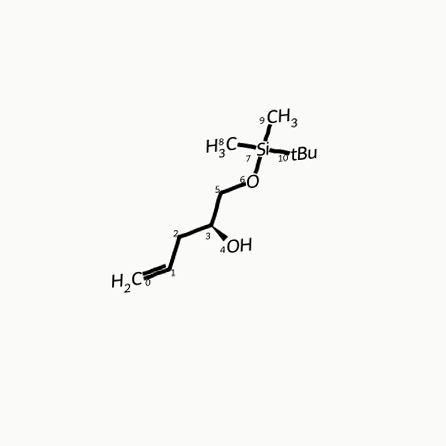 C=CC[C@H](O)CO[Si](C)(C)C(C)(C)C